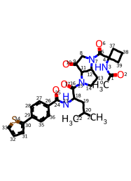 CC(=O)NC1(C(=O)N2CC(=O)C3C2CCN3C(=O)C(CC(C)C)NC(=O)c2ccc(-c3cccs3)cc2)CCC1